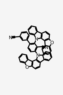 N#Cc1cccc(-c2ccc(-n3c4ccccc4c4ccc5oc6ccccc6c5c43)c(C#N)c2-n2c3ccccc3c3ccc4oc5ccccc5c4c32)c1